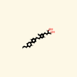 CCCC1CCC(c2ccc(CCc3ccc(CCC(CO)CO)cc3C)cc2)CC1